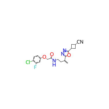 C=C(CCNC(=O)COc1ccc(Cl)c(F)c1)c1nnc(C2CC(C#N)C2)o1